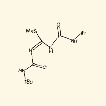 CSC(=NC(=O)NC(C)(C)C)NC(=O)NC(C)C